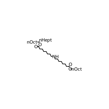 CCCCCCCCOC(=O)CCCCCCCNCCCCCCCC(=O)OC(CCCCCCC)CCCCCCCC